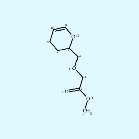 COC(=O)COCC1CCC=CO1